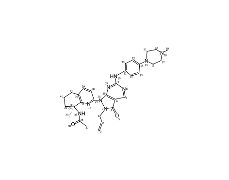 C=CCn1c(=O)c2cnc(Nc3ccc(N4CCN(C)CC4)cc3)nc2n1-c1ccc2c(n1)[C@@](C)(NC(C)=O)CCC2